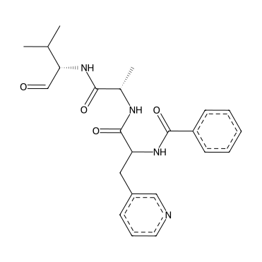 CC(C)[C@@H](C=O)NC(=O)[C@H](C)NC(=O)C(Cc1cccnc1)NC(=O)c1ccccc1